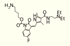 CCN(CC)CCNC(=O)c1c(C)[nH]c(/C=C2\C(=O)N(C(=O)OCCCCN)c3ccc(F)cc32)c1C